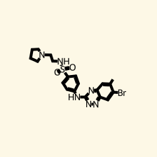 Cc1cc2nc(Nc3ccc(S(=O)(=O)NCCN4CCCC4)cc3)nnc2cc1Br